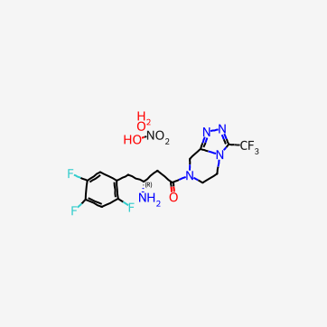 N[C@@H](CC(=O)N1CCn2c(nnc2C(F)(F)F)C1)Cc1cc(F)c(F)cc1F.O.O=[N+]([O-])O